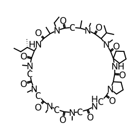 CC[C@H](C)C1NC(=O)C(C)N(CC)C(=O)CC(C)N(C)C(=O)C(C(C)C)N(C)C(=O)C2(CCCC2)NC(=O)C2CCCN2C(=O)CNC(=O)CN(C)C(=O)CN(C)C(=O)CN(C)C(=O)CN(C)C1=O